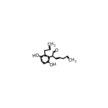 C=CCC=CC(C=O)c1c(O)ccc(O)c1CC=C